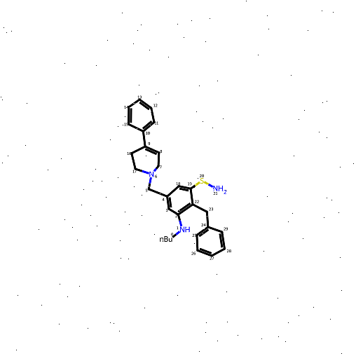 CCCCNc1cc(CN2CC=C(c3ccccc3)CC2)cc(SN)c1Cc1ccccc1